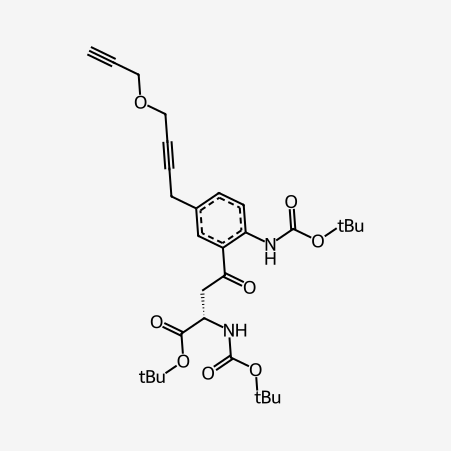 C#CCOCC#CCc1ccc(NC(=O)OC(C)(C)C)c(C(=O)C[C@H](NC(=O)OC(C)(C)C)C(=O)OC(C)(C)C)c1